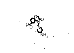 COC(=O)c1ccc2c(c1)N(CCN1CCC(N)CC1)C(=O)CO2